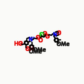 COc1ccc(C[N+]2(CCCOC(=O)/C=C(\Cl)C(=O)OCCC[N@+]3(C)CCc4cc(CO)c(CO)cc4[C@H]3Cc3ccc(OC)c(OC)c3)CCOCC2)cc1C